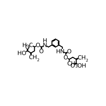 C=C(CC(C)OC(=O)NCc1cccc(CNC(=O)OC(C)CC(=C)C(=O)O)c1)C(=O)O